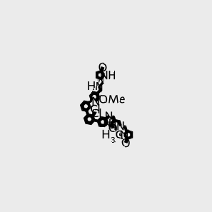 COc1nc(-c2cccc(-c3cccc(-c4ccn5c(=O)c(CNCC6CCC(=O)N6C)cnc5c4)c3Cl)c2Cl)ccc1CNC[C@H]1CCC(=O)N1